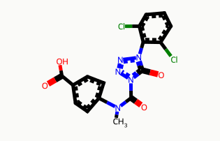 CN(C(=O)n1nnn(-c2c(Cl)cccc2Cl)c1=O)c1ccc(C(=O)O)cc1